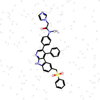 CN(C(=O)Cn1ccnc1)c1ccc(-c2cnc3[nH]c4ccc(CS(=O)(=O)c5ccccc5)cc4c3c2-c2ccccc2)cc1